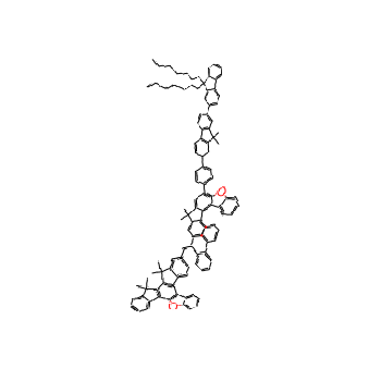 CCCCCCCC1(CCCCCCC)c2ccccc2-c2ccc(-c3ccc4c(c3)C(C)(C)C3=C4C=CC(c4ccc(-c5cc6c(c7c5oc5ccccc57)-c5ccc(C(Cc7ccc8c(c7)C(C)(C)c7c9c(c%10oc%11ccccc%11c%10c7-8)-c7ccccc7C9(C)C)c7ccccc7-c7ccccc7)cc5C6(C)C)cc4)C3)cc21